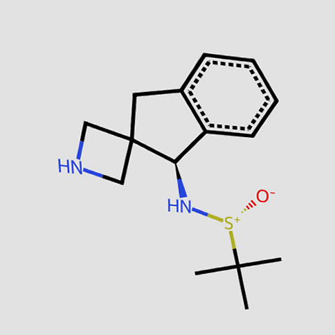 CC(C)(C)[S@@+]([O-])N[C@@H]1c2ccccc2CC12CNC2